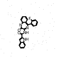 O=C(Nc1nc(-c2ccccc2F)c2ccccc2nc1=O)c1cc2ccccc2[nH]1